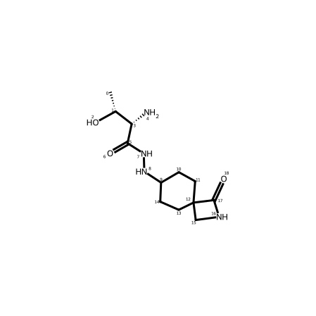 C[C@@H](O)[C@H](N)C(=O)NNC1CCC2(CC1)CNC2=O